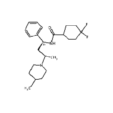 CC1CCN(C(C)C[C@H](NC(=O)C2CCC(F)(F)CC2)c2ccccc2)CC1